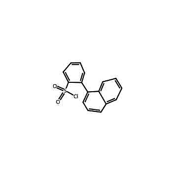 O=S(=O)(Cl)c1ccccc1-c1cccc2ccccc12